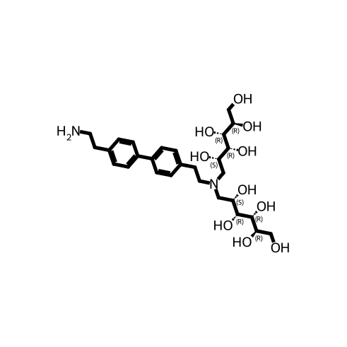 NCCc1ccc(-c2ccc(CCN(C[C@H](O)[C@@H](O)[C@H](O)[C@H](O)CO)C[C@H](O)[C@@H](O)[C@H](O)[C@H](O)CO)cc2)cc1